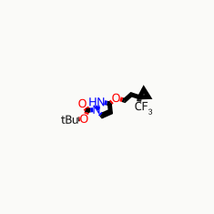 CC(C)(C)OC(=O)N1C=CC(OCCC2(C(F)(F)F)CC2)N1